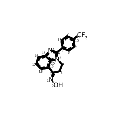 ON=C1CCn2c(-c3ccc(C(F)(F)F)cc3)nc3cccc1c32